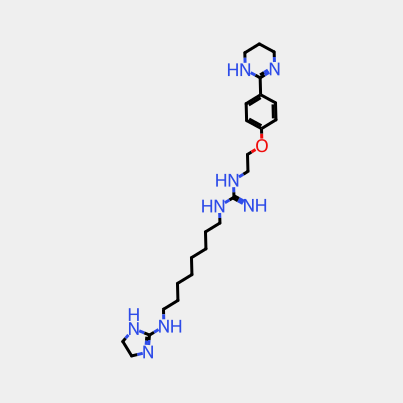 N=C(NCCCCCCCCNC1=NCCN1)NCCOc1ccc(C2=NCCCN2)cc1